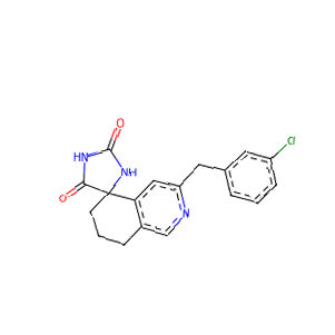 O=C1NC(=O)C2(CCCc3cnc(Cc4cccc(Cl)c4)cc32)N1